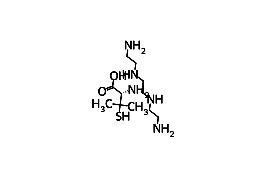 CC(C)(S)[C@@H](N)C(=O)O.NCCNCCNCCN